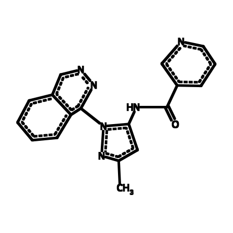 Cc1cc(NC(=O)c2cccnc2)n(-c2nncc3ccccc23)n1